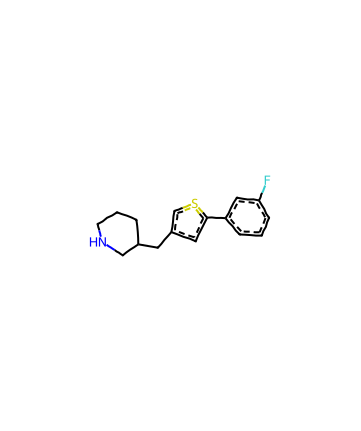 Fc1cccc(-c2cc(CC3CCCNC3)cs2)c1